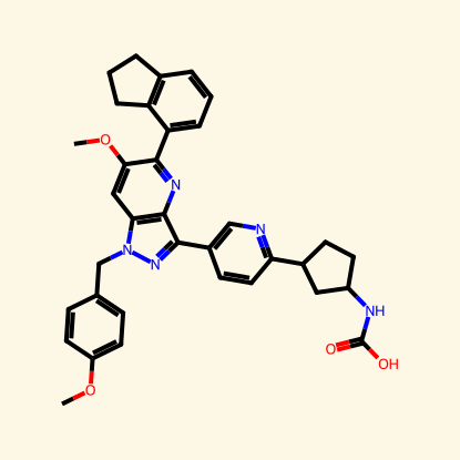 COc1ccc(Cn2nc(-c3ccc(C4CCC(NC(=O)O)C4)nc3)c3nc(-c4cccc5c4CCC5)c(OC)cc32)cc1